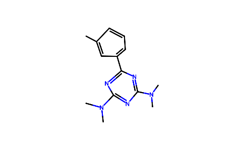 Cc1cccc(-c2nc(N(C)C)nc(N(C)C)n2)c1